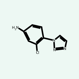 Nc1ccc(-n2ccnn2)c(Cl)c1